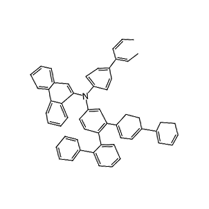 C/C=C\C(=C/C)c1ccc(N(c2ccc(-c3ccccc3-c3ccccc3)c(C3=CC=C(C4=CC=CCC4)CC3)c2)c2cc3ccccc3c3ccccc23)cc1